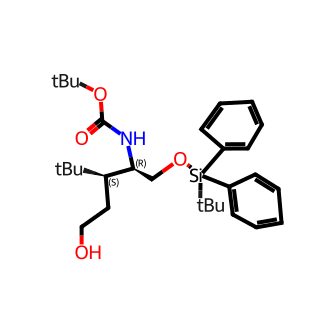 CC(C)(C)OC(=O)N[C@@H](CO[Si](c1ccccc1)(c1ccccc1)C(C)(C)C)[C@@H](CCO)C(C)(C)C